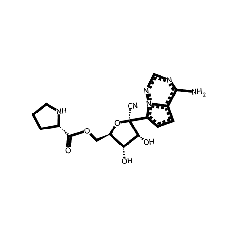 N#C[C@@]1(c2ccc3c(N)ncnn23)O[C@H](COC(=O)[C@@H]2CCCN2)[C@@H](O)[C@H]1O